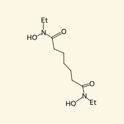 CCN(O)C(=O)CCCCCC(=O)N(O)CC